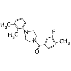 Cc1ccc(C(=O)N2CCN(c3cccc(C)c3C)CC2)cc1F